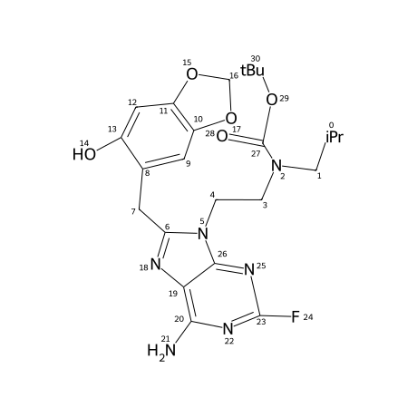 CC(C)CN(CCn1c(Cc2cc3c(cc2O)OCO3)nc2c(N)nc(F)nc21)C(=O)OC(C)(C)C